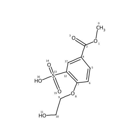 COC(=O)c1ccc(OCCO)c(S(=O)(=O)O)c1